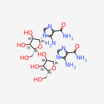 NC(=O)c1ncn([C@@H]2O[C@H](CO)[C@@H](O)[C@H]2O)c1N.NC(=O)c1ncn([C@@H]2O[C@H](CO)[C@@H](O)[C@H]2O)c1N